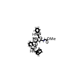 COC(=O)/C=C/CC[C@H](NC(=O)c1nc2ccccc2[nH]1)C(=O)Nc1cccn(CC(=O)NC2C3CC4CC(C3)CC2C4)c1=O